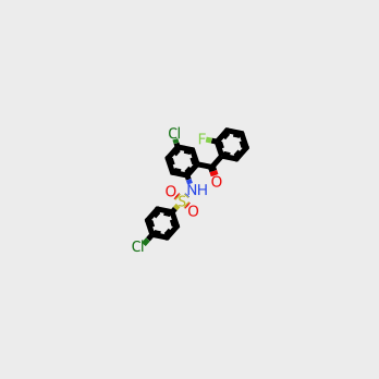 O=C(c1ccccc1F)c1cc(Cl)ccc1NS(=O)(=O)c1ccc(Cl)cc1